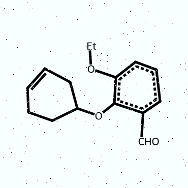 CCOc1cccc(C=O)c1OC1CC=CCC1